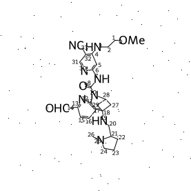 COCCNc1cc(NC(=O)N2c3nc(C=O)ccc3C3(NCC4CCCN4C)CC2C3)ncc1C#N